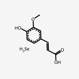 COc1cc(C=CC(=O)O)ccc1O.[SeH2]